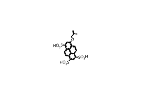 C=C(C)COc1cc(S(=O)(=O)O)c2ccc3c(S(=O)(=O)O)cc(S(=O)(=O)O)c4ccc1c2c43